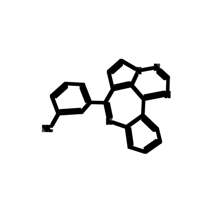 N#Cc1cccc(C2=Nc3ccccc3-c3ncnn4ccc2c34)c1